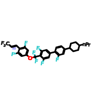 CCCC1CCC(c2ccc(-c3cc(F)c(C(F)(F)Oc4cc(F)c(/C=C/C(F)(F)F)c(F)c4)c(F)c3)c(F)c2)CC1